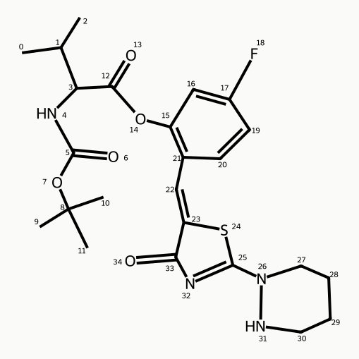 CC(C)C(NC(=O)OC(C)(C)C)C(=O)Oc1cc(F)ccc1/C=C1\SC(N2CCCCN2)=NC1=O